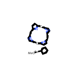 C1=Cc2cc3ccc(cc4nc(cc5ccc(cc1n2)[nH]5)C=C4)[nH]3.C[O][Co][c]1ccccc1